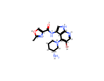 Cc1nc(C(=O)Nc2c[nH]c3ncc(Br)c(N4CCC[C@@H](N)C4)c23)co1